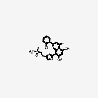 NS(=O)(=O)CCc1cnc(-c2c(O)cc(O)c3c(=O)cc(-c4ccccc4Cl)oc23)o1